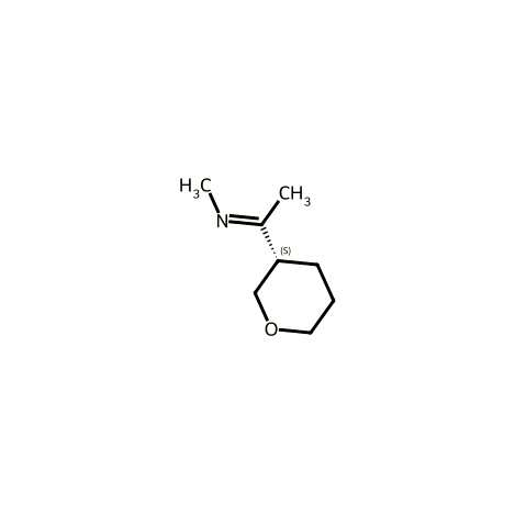 CN=C(C)[C@@H]1CCCOC1